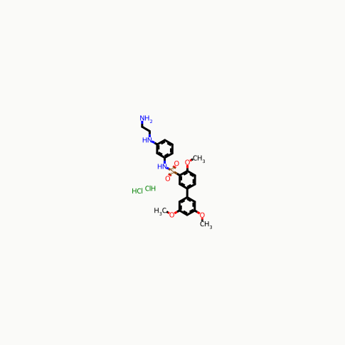 COc1cc(OC)cc(-c2ccc(OC)c(S(=O)(=O)Nc3cccc(NCCN)c3)c2)c1.Cl.Cl